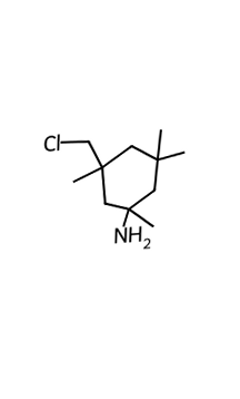 CC1(C)CC(C)(N)CC(C)(CCl)C1